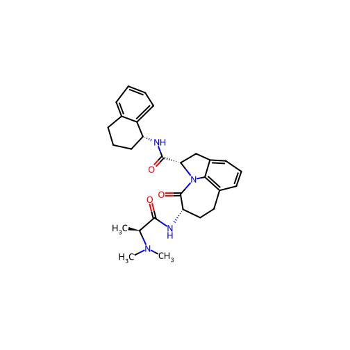 C[C@@H](C(=O)N[C@H]1CCc2cccc3c2N(C1=O)[C@H](C(=O)N[C@@H]1CCCc2ccccc21)C3)N(C)C